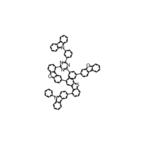 c1ccc(-n2c3ccccc3c3cc(-c4cccc5sc6ccc(-c7ccc8oc9cccc(-c%10nc(-c%11cccc(-c%12ccc%13c(c%12)oc%12ccccc%12%13)c%11)nc(-c%11cccc(-n%12c%13ccccc%13c%13ccccc%13%12)c%11)n%10)c9c8c7)cc6c45)ccc32)cc1